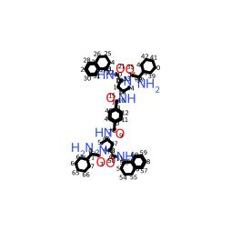 N[C@H](C(=O)N1C[C@@H](NC(=O)c2ccc(C(=O)N[C@H]3C[C@@H](C(=O)N[C@@H]4CCCc5ccccc54)N(C(=O)[C@@H](N)C4CCCCC4)C3)cc2)C[C@H]1C(=O)N[C@@H]1CCCc2ccccc21)C1CCCCC1